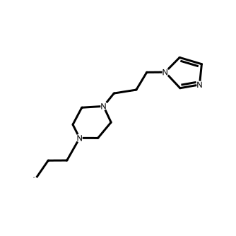 [CH2]CCN1CCN(CCCn2ccnc2)CC1